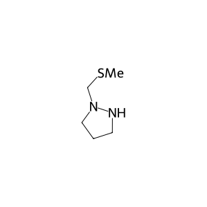 CSCN1CCCN1